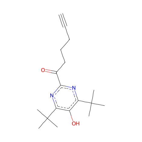 C#CCCCC(=O)c1nc(C(C)(C)C)c(O)c(C(C)(C)C)n1